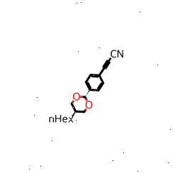 CCCCCC[C@H]1CO[C@H](c2ccc(C#CC#N)cc2)OC1